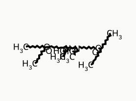 CCCCCCCCC(CCCCCCCC)OC(=O)CCCCCCCN(CCCN(CCCCCCCC(=O)OC(CCCCCCCC)CCCCCCCC)CC(O)CC)CC(O)CC